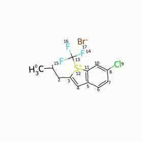 CCCc1cc2ccc(Cl)cc2[s+]1C(F)(F)F.[Br-]